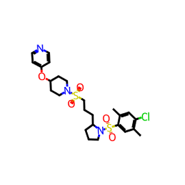 Cc1cc(S(=O)(=O)N2CCCC2CCCS(=O)(=O)N2CCC(Oc3ccncc3)CC2)c(C)cc1Cl